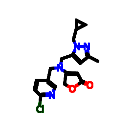 Cc1cc(CN(Cc2ccc(Cl)nc2)C2=CC(=O)OC2)n(CC2CC2)n1